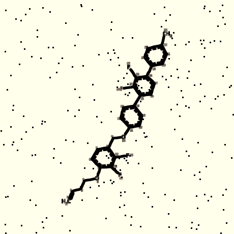 C=CCCOc1ccc(COc2ccc(-c3ccc(-c4ccc(C)cc4)c(F)c3F)cc2)c(F)c1F